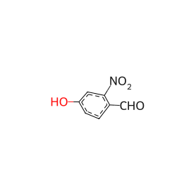 O=Cc1ccc(O)cc1[N+](=O)[O-]